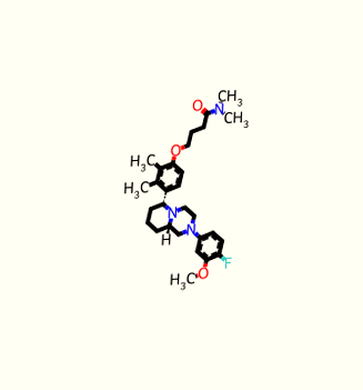 COc1cc(N2CCN3[C@@H](CCC[C@@H]3c3ccc(OCCCC(=O)N(C)C)c(C)c3C)C2)ccc1F